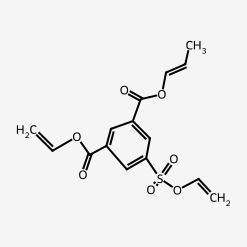 C=COC(=O)c1cc(C(=O)OC=CC)cc(S(=O)(=O)OC=C)c1